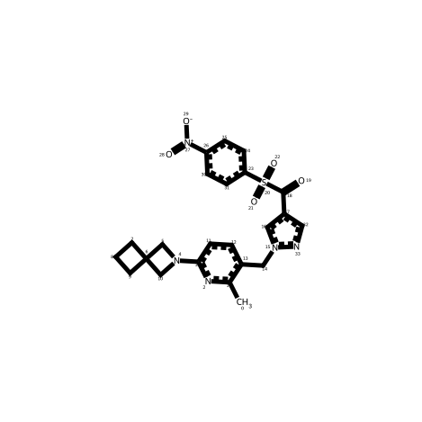 Cc1nc(N2CC3(CCC3)C2)ccc1Cn1cc(C(=O)S(=O)(=O)c2ccc([N+](=O)[O-])cc2)cn1